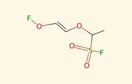 CC(OC=COF)S(=O)(=O)F